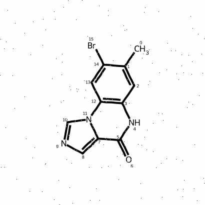 Cc1cc2[nH]c(=O)c3cncn3c2cc1Br